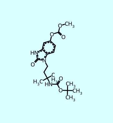 COC(=O)Oc1ccc2c(c1)[nH]c(=O)n2CCC(C)(C)NC(=O)OC(C)(C)C